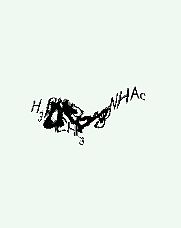 CC(=O)NC[C@H]1CN(c2ccc(C=C3C(=O)Nc4c(C)ccc(C)c43)c(F)c2)C(=O)O1